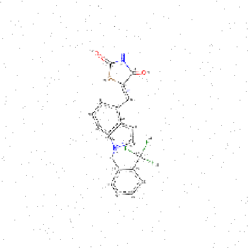 O=C1NC(=O)/C(=C/c2cccc3c2ccn3Cc2ccccc2C(F)(F)F)S1